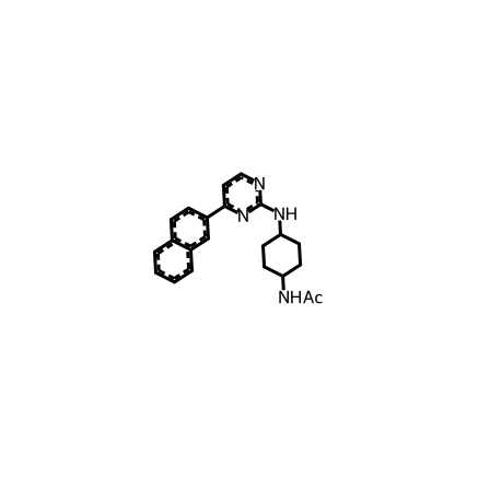 CC(=O)NC1CCC(Nc2nccc(-c3ccc4ccccc4c3)n2)CC1